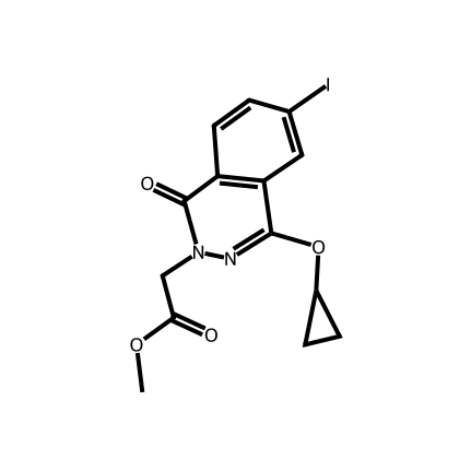 COC(=O)Cn1nc(OC2CC2)c2cc(I)ccc2c1=O